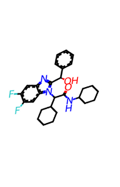 O=C(NC1CCCCC1)C(C1CCCCC1)n1c([C@H](O)c2ccccc2)nc2cc(F)c(F)cc21